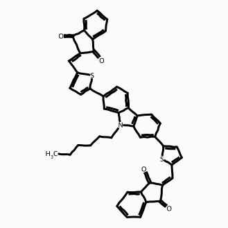 CCCCCCn1c2cc(-c3ccc(C=C4C(=O)c5ccccc5C4=O)s3)ccc2c2ccc(-c3ccc(C=C4C(=O)c5ccccc5C4=O)s3)cc21